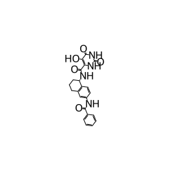 O=C(Nc1ccc2c(c1)CCCC2NC(=O)c1[nH]c(=O)[nH]c(=O)c1O)c1ccccc1